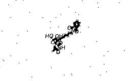 Cc1cn([C@@H]2O[C@H](CO)C(O)C2OCCCCCCN2C(=O)c3ccccc3C2=O)c(=O)[nH]c1=O